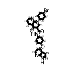 O=C(Nc1ccc(Oc2ccnc3[nH]ccc23)cc1)c1cn(-c2ccc(Br)cc2)c2ncccc2c1=O